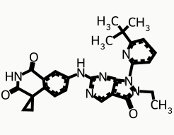 CCn1c(=O)c2cnc(Nc3ccc4c(c3)C(=O)NC(=O)C43CC3)nc2n1-c1cccc(C(C)(C)C)n1